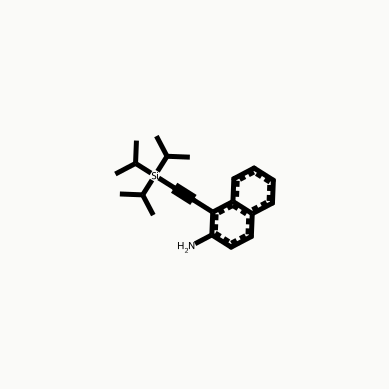 CC(C)[Si](C#Cc1c(N)ccc2ccccc12)(C(C)C)C(C)C